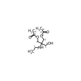 CCNC(CO)(COC(C)=O)COC(C)=O